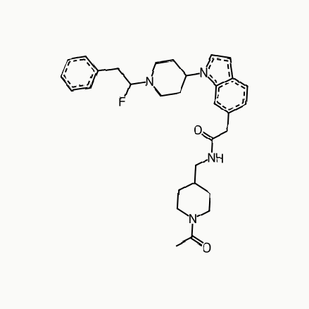 CC(=O)N1CCC(CNC(=O)Cc2ccc3ccn(C4CCN(C(F)Cc5ccccc5)CC4)c3c2)CC1